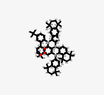 CC(C)(C)c1ccc(N2c3cc(C(C)(C)C)cc4c3B(c3ccc5c(c3N4c3ccc4c(c3)C(C)(C)CCC4(C)C)C(C)(C)CCC5(C)C)c3sc4cc5c(cc4c32)C(C)(C)CCC5(C)C)c(-c2ccccc2)c1